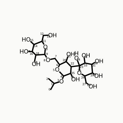 CC(C)OC1OC(COC2OC(CO)C(O)C(O)C2O)C(O)C(C2(O)OC(CO)C(O)C(O)C2O)C1O